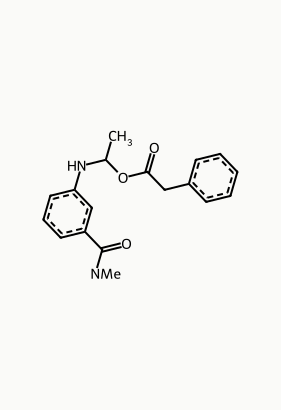 CNC(=O)c1cccc(NC(C)OC(=O)Cc2ccccc2)c1